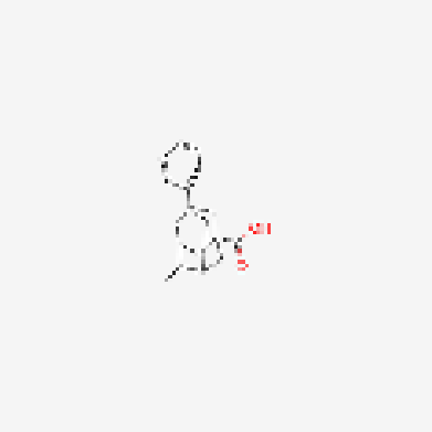 CC1C2CC3(C(=O)O)CC1CC(c1ccccc1)(C2)C3